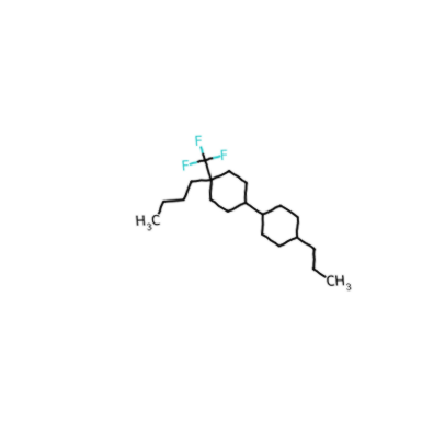 CCCCC1(C(F)(F)F)CCC(C2CCC(CCC)CC2)CC1